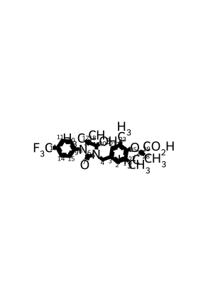 Cc1cc(CN2C(=O)N(c3ccc(C(F)(F)F)cc3)C(C)(C)C2O)cc(C)c1OC(C)(C)C(=O)O